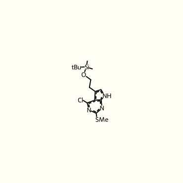 CSc1nc(Cl)c2c(CCO[Si](C)(C)C(C)(C)C)c[nH]c2n1